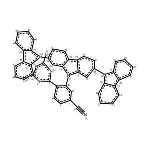 Cc1nc(C)nc(-c2ccc(C#N)cc2-n2c3cc(-n4c5ccccc5c5ccccc54)ccc3c3ccc(-n4c5ccccc5c5ccccc54)cc32)n1